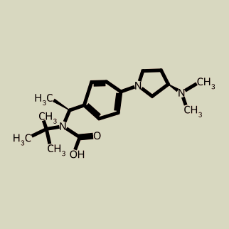 C[C@@H](c1ccc(N2CC[C@@H](N(C)C)C2)cc1)N(C(=O)O)C(C)(C)C